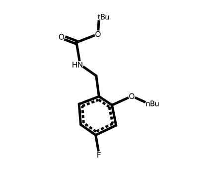 CCCCOc1cc(F)ccc1CNC(=O)OC(C)(C)C